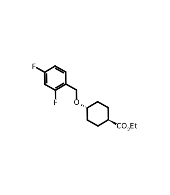 CCOC(=O)[C@H]1CC[C@H](OCc2ccc(F)cc2F)CC1